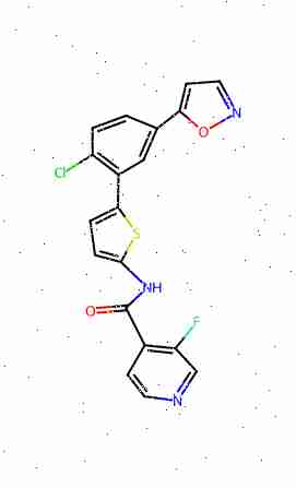 O=C(Nc1ccc(-c2cc(-c3ccno3)ccc2Cl)s1)c1ccncc1F